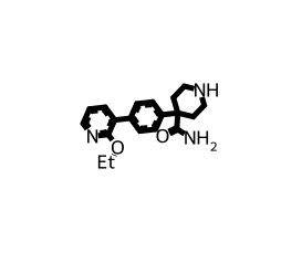 CCOc1ncccc1-c1ccc(C2(C(N)=O)CCNCC2)cc1